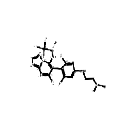 C[C@H](Nc1c(-c2c(F)cc(NCCN(C)C)cc2F)c(Cl)nc2ncnn12)C(F)(F)F